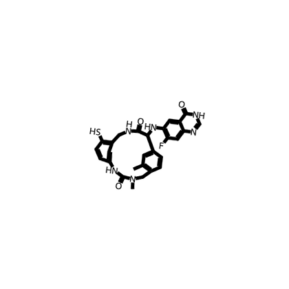 Cc1cc2ccc1CN(C)C(=O)Nc1ccc(S)c(c1)CNC(=O)C2Nc1cc2c(=O)[nH]cnc2cc1F